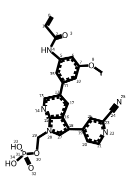 C=CC(=O)Nc1cc(OC)cc(-c2cnc3c(c2)c(-c2ccnc(C#N)c2)cn3COP(=O)(O)O)c1